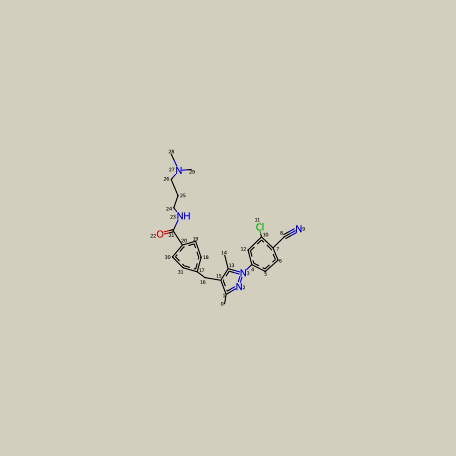 Cc1nn(-c2ccc(C#N)c(Cl)c2)c(C)c1Cc1ccc(C(=O)NCCCN(C)C)cc1